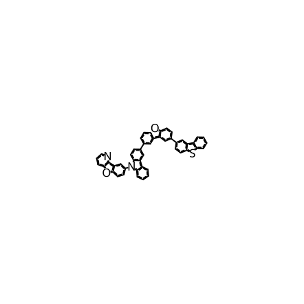 c1cnc2c(c1)oc1ccc(-n3c4ccccc4c4cc(-c5ccc6oc7ccc(-c8ccc9sc%10ccccc%10c9c8)cc7c6c5)ccc43)cc12